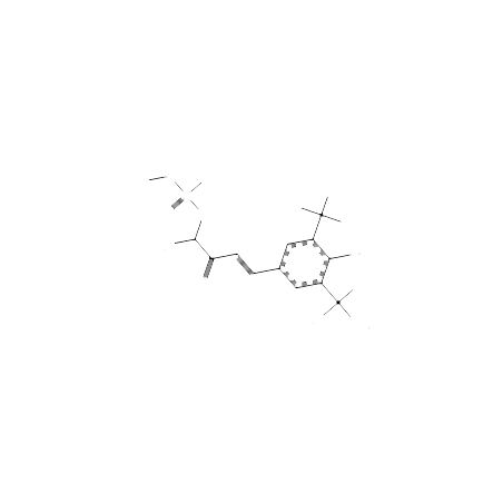 COP(C)(=O)OC(C)C(=O)C=Cc1cc(C(C)(C)C)c(O)c(C(C)(C)C)c1